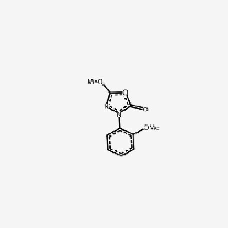 COc1nn(-c2ccccc2OC)c(=O)o1